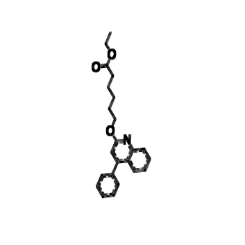 CCOC(=O)CCCCCOc1cc(-c2ccccc2)c2ccccc2n1